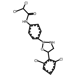 O=C(Nc1ccc(N2NCC(c3c(Cl)cccc3Cl)O2)cc1)C(Cl)Cl